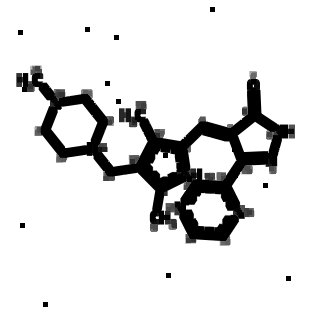 Cc1[nH]c(/C=C2/C(=O)NN=C2c2cnccn2)c(C)c1CN1CCN(C)CC1